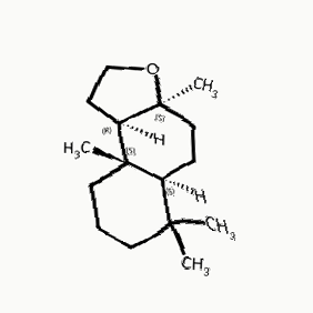 CC1(C)CCC[C@]2(C)[C@H]3CCO[C@@]3(C)CC[C@@H]12